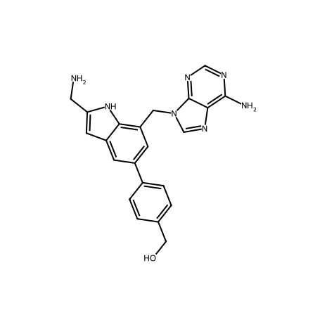 NCc1cc2cc(-c3ccc(CO)cc3)cc(Cn3cnc4c(N)ncnc43)c2[nH]1